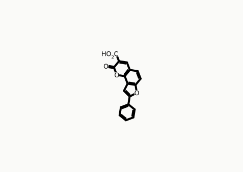 O=C(O)c1cc2ccc3oc(-c4ccccc4)cc3c2oc1=O